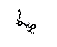 C#CCCCOc1cc(/C=C/C(=O)Nc2ccccc2C(=O)O)ccc1C